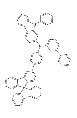 c1ccc(-c2cccc(N(c3ccc(-c4ccc5c(c4)-c4ccccc4C54c5ccccc5-c5ccccc54)cc3)c3ccc4c5ccccc5n(-c5ccccc5)c4c3)c2)cc1